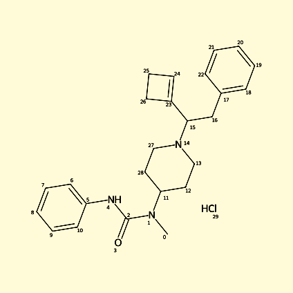 CN(C(=O)Nc1ccccc1)C1CCN(C(Cc2ccccc2)C2=CCC2)CC1.Cl